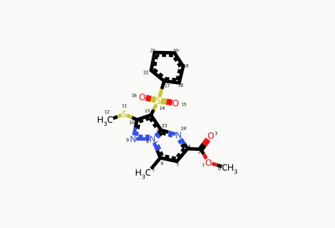 COC(=O)c1cc(C)n2nc(SC)c(S(=O)(=O)c3ccccc3)c2n1